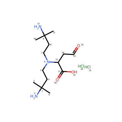 CC(C)(N)CCN(CCC(C)(C)N)C(CC=O)C(=O)O.Cl.Cl